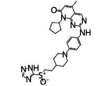 Cc1cc(=O)n(C2CCCC2)c2nc(Nc3ccc(N4CCC(CC[S+]([O-])c5ncn[nH]5)CC4)cc3)ncc12